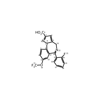 O=C(O)c1cc2n(n1)-c1ccc(OC(F)(F)F)cc1C(c1ccccc1F)=NC2